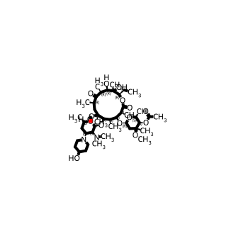 CC[C@H]1OC(=O)[C@H](C)[C@@H](O[C@H]2C[C@@](C)(OC)[C@@H](OC(C)=O)[C@H](C)O2)[C@H](C)[C@@H](O[C@@H]2O[C@H](C)C[C@@H](N3CCC(O)CC3)[C@@H]2N(C)C)[C@@](C)(OC)C[C@@H](C)C(=O)[C@H](C)[C@@H](O)[C@]1(C)O